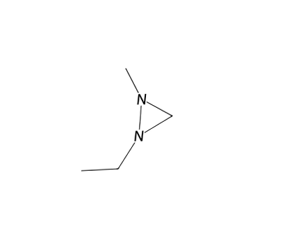 CCN1CN1C